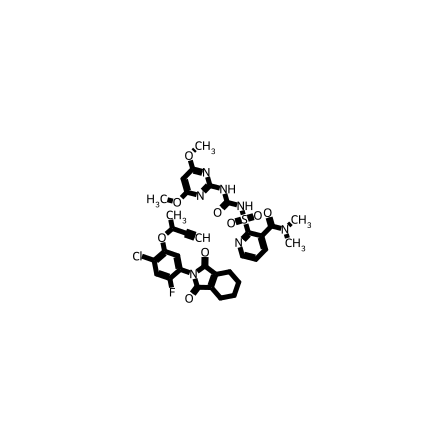 C#CC(C)Oc1cc(N2C(=O)C3=C(CCCC3)C2=O)c(F)cc1Cl.COc1cc(OC)nc(NC(=O)NS(=O)(=O)c2ncccc2C(=O)N(C)C)n1